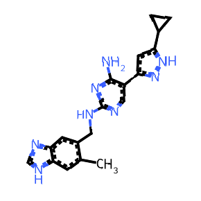 Cc1cc2[nH]cnc2cc1CNc1ncc(-c2cc(C3CC3)[nH]n2)c(N)n1